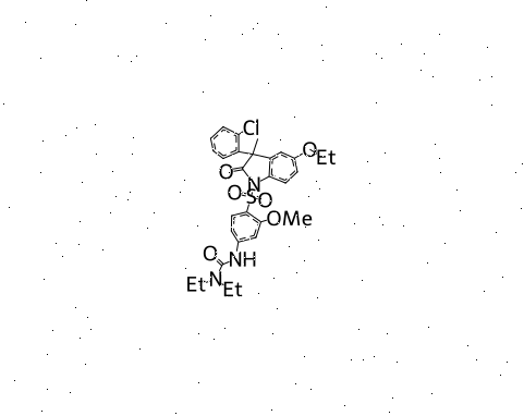 CCOc1ccc2c(c1)C(C)(c1ccccc1Cl)C(=O)N2S(=O)(=O)c1ccc(NC(=O)N(CC)CC)cc1OC